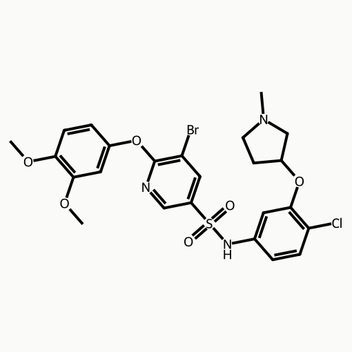 COc1ccc(Oc2ncc(S(=O)(=O)Nc3ccc(Cl)c(OC4CCN(C)C4)c3)cc2Br)cc1OC